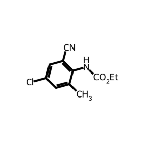 CCOC(=O)Nc1c(C)cc(Cl)cc1C#N